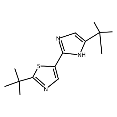 CC(C)(C)c1cnc(-c2cnc(C(C)(C)C)s2)[nH]1